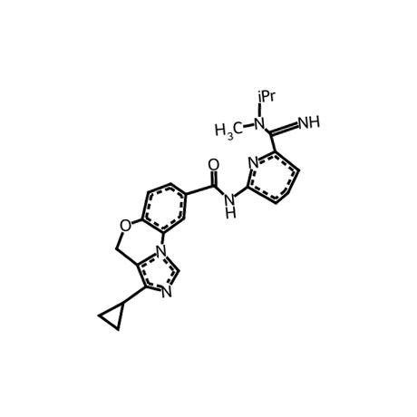 CC(C)N(C)C(=N)c1cccc(NC(=O)c2ccc3c(c2)-n2cnc(C4CC4)c2CO3)n1